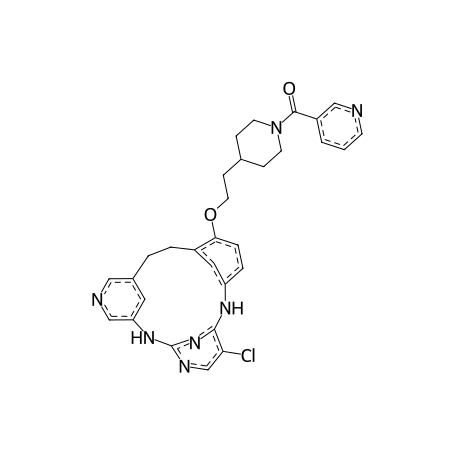 O=C(c1cccnc1)N1CCC(CCOc2ccc3cc2CCc2cncc(c2)Nc2ncc(Cl)c(n2)N3)CC1